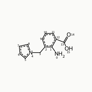 Nc1c(Cn2cccc2)cccc1C(=O)O